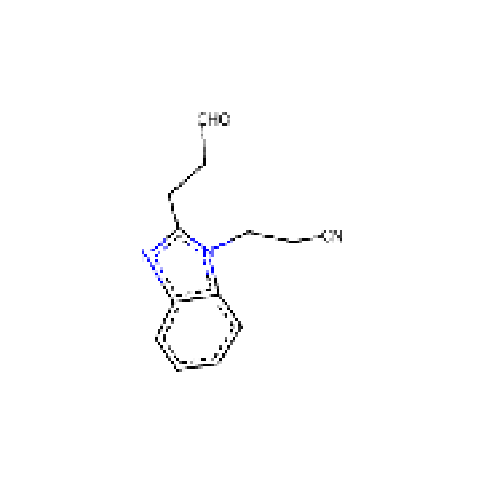 N#CCCn1c(CCC=O)nc2ccccc21